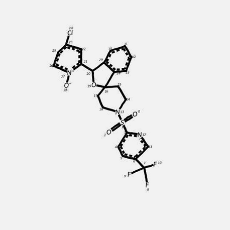 O=S(=O)(c1ccc(C(F)(F)F)cn1)N1CCC2(CC1)OC(c1cc(Cl)cc[n+]1[O-])c1ccccc12